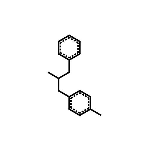 Cc1ccc(CC(C)Cc2cc[c]cc2)cc1